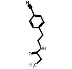 CCC(=O)NCCc1ccc(C#N)cc1